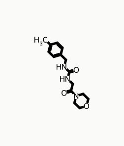 Cc1ccc(CNC(=O)NCC(=O)N2CCOCC2)cc1